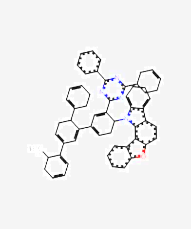 CC1CC=CC=C1C1=CCC(C2=CC=CCC2)C(C2=CCC(n3c4c(c5ccc6oc7ccccc7c6c53)=CCCC=4)C(c3nc(-c4ccccc4)nc(C4CC=CCC4)n3)=C2)=C1